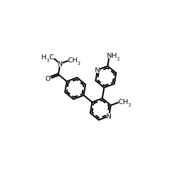 Cc1nccc(-c2ccc(C(=O)N(C)C)cc2)c1-c1ccc(N)nc1